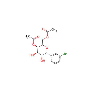 CC(=O)OC[C@H]1O[C@H](c2cccc(Br)c2)[C@@H](O)[C@@H](O)[C@H]1OC(C)=O